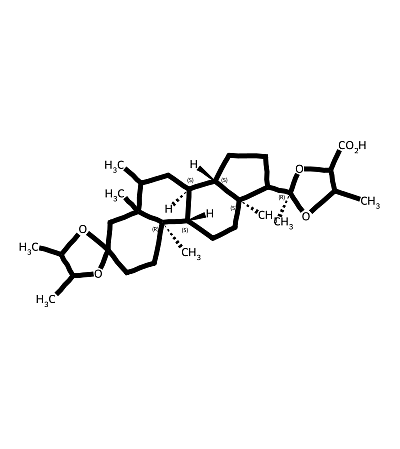 CC1OC2(CC[C@]3(C)[C@H]4CC[C@]5(C)C([C@]6(C)OC(C)C(C(=O)O)O6)CC[C@H]5[C@@H]4CC(C)C3(C)C2)OC1C